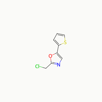 ClCc1ncc(-c2cccs2)o1